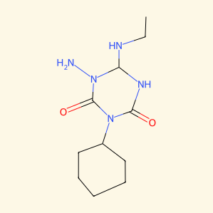 CCNC1NC(=O)N(C2CCCCC2)C(=O)N1N